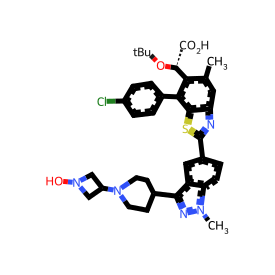 Cc1cc2nc(-c3ccc4c(c3)c(C3CCN(C5CN(O)C5)CC3)nn4C)sc2c(-c2ccc(Cl)cc2)c1[C@H](OC(C)(C)C)C(=O)O